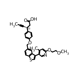 CC#C[C@@H](CC(=O)O)c1ccc(OCc2ccc3scc(-c4cnc(OCCOC)cc4C)c3c2)cc1